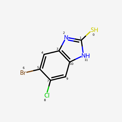 Sc1nc2cc(Br)c(Cl)cc2[nH]1